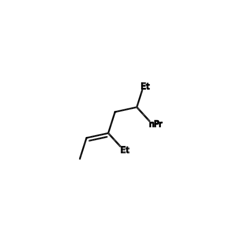 C/C=C(\CC)CC(CC)CCC